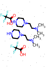 CN(C)CCN1CCNCC1.CN(C)CCN1CCNCC1.O=C(O)C(F)(F)F.O=C(O)C(F)(F)F